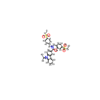 CCS(=O)(=O)c1ccc(CN(Cc2ccc(S(=O)(=O)CC)cc2)C(=O)c2ccc3c(c2)c2ccccc2n3C(C)C)cc1